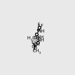 CCOP(=O)(Cc1ccc(NC(=S)Nc2cc(-c3cc4cc(F)c(F)cc4[nH]3)ccc2OC)cc1)OCC